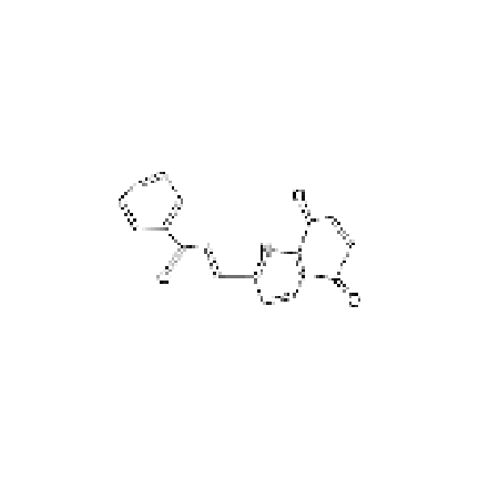 O=C(C=Cc1ccc2c(n1)C(=O)C=CC2=O)c1ccccc1